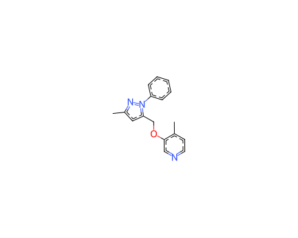 Cc1cc(COc2cnccc2C)n(-c2ccccc2)n1